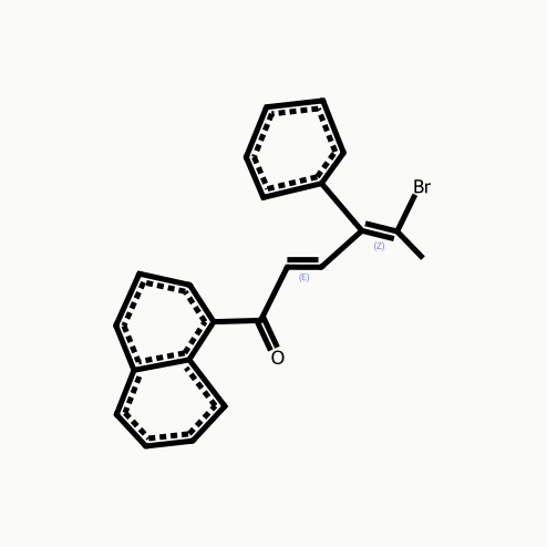 C/C(Br)=C(\C=C\C(=O)c1cccc2ccccc12)c1ccccc1